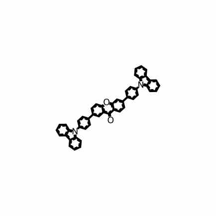 O=c1c2ccc(-c3ccc(-n4c5ccccc5c5ccccc54)cc3)cc2oc2ccc(-c3ccc(-n4c5ccccc5c5ccccc54)cc3)cc12